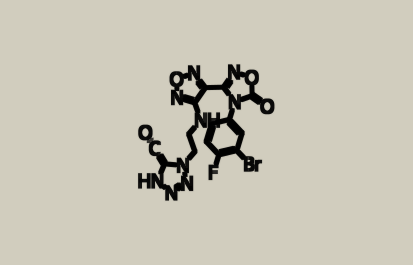 O=C=C1NN=NN1CCNc1nonc1-c1noc(=O)n1-c1ccc(F)c(Br)c1